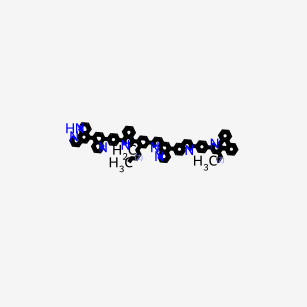 C=C(/C=C\CC)C1=C(c2cnc(-c3ccc(C4C=CC(c5cc6cccnc6c6c5C=CCN6)=C5C=CC=NC54)cc3)c3ccccc23)C=CC(c2ccc3cc(-c4ccc5nc(-c6ccc(-c7cc(/C=C\C)c8c9ccccc9c9ccccc9c8n7)cc6)ccc5c4)c4cccnc4c3n2)C1